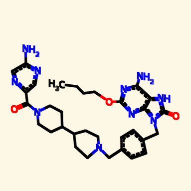 CCCCOc1nc(N)c2[nH]c(=O)n(Cc3ccc(CN4CCC(C5CCN(C(=O)c6cnc(N)cn6)CC5)CC4)cc3)c2n1